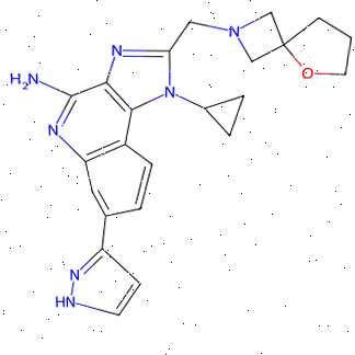 Nc1nc2cc(-c3cc[nH]n3)ccc2c2c1nc(CN1CC3(CCCO3)C1)n2C1CC1